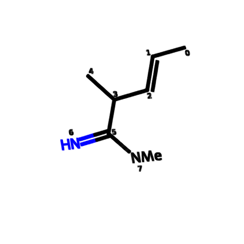 CC=CC(C)C(=N)NC